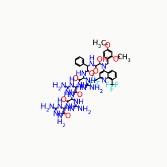 COc1ccc(CN(c2cc(C(F)(F)F)nc3c(C(F)(F)F)cccc23)C(O)C(=O)NC(C(=O)NC(NC(=N)N)C(=O)NC(NC(=N)N)C(=O)NC(NC(=N)N)C(=O)NC(NC(=N)N)C(N)=O)c2ccccc2)c(OC)c1